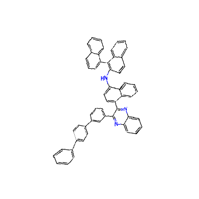 c1ccc(-c2ccc(-c3cccc(-c4nc5ccccc5nc4-c4ccc(Nc5ccc6ccccc6c5-c5cccc6ccccc56)c5ccccc45)c3)cc2)cc1